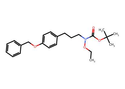 CCON(CCCc1ccc(OCc2ccccc2)cc1)C(=O)OC(C)(C)C